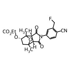 CCOC(=O)O[C@H]1CC2(C)OC1(C)[C@@H]1C(=O)N(c3ccc(C#N)c(CF)c3)C(=O)[C@@H]12